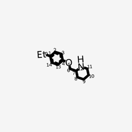 CCc1ccc(OCC2CCCCN2)cc1